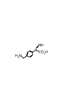 N=CN(C(=O)O)c1ccc(CN)cc1